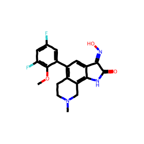 COc1c(F)cc(F)cc1-c1cc2c(c3c1CCN(C)C3)NC(=O)/C2=N/O